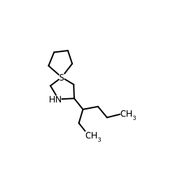 CCCC(CC)C1CS2(CCCC2)CN1